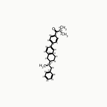 CN(C)C(=O)c1ccc(-c2ccc3c(c2)CCC(N(C)Cc2ccccc2)C3)cc1